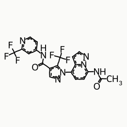 CC(=O)Nc1ccc(-n2ncc(C(=O)Nc3ccnc(C(F)(F)F)c3)c2C(F)(F)F)c2ccnn12